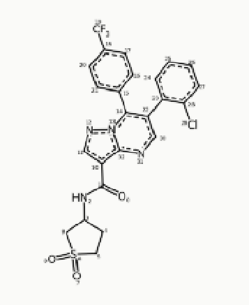 O=C(NC1CCS(=O)(=O)C1)c1cnn2c(-c3ccc(C(F)(F)F)cc3)c(-c3ccccc3Cl)cnc12